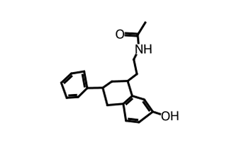 CC(=O)NCCC1CC(c2ccccc2)Cc2ccc(O)cc21